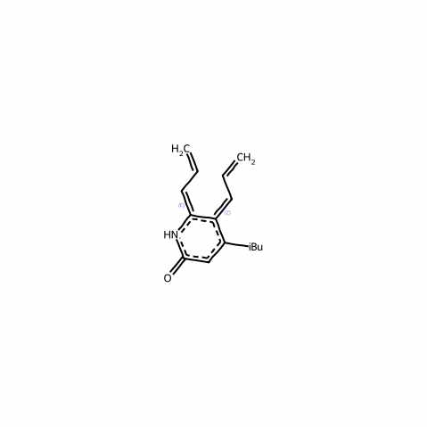 C=C/C=c1/c(C(C)CC)cc(=O)[nH]/c1=C/C=C